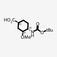 CO[C@H]1C[C@@H](C(=O)O)CC[C@@H]1NC(=O)OC(C)(C)C